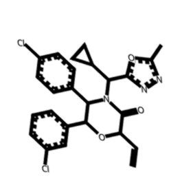 C=CC1OC(c2cccc(Cl)c2)C(c2ccc(Cl)cc2)N(C(c2nnc(C)o2)C2CC2)C1=O